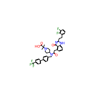 CC(C)(C(=O)O)N1CCC(N(Cc2ccc(-c3ccc(C(F)(F)F)cc3)cc2)C(=O)Cc2cccc3[nH]c(CCc4cccc(F)c4F)nc(=O)c23)CC1